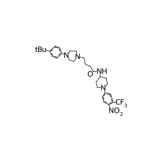 CC(C)(C)c1ccc(N2CCN(CCCC(=O)NC3CCN(c4ccc([N+](=O)[O-])c(C(F)(F)F)c4)CC3)CC2)cc1